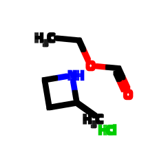 CC1CCN1.CCOC=O.Cl